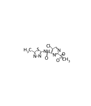 Cc1nnc(NC(=O)c2nc(S(C)(=O)=O)ncc2Cl)s1